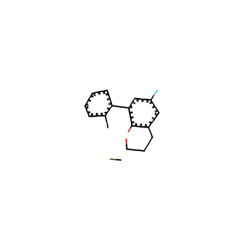 Fc1cc2c(c(-c3ccccc3C(F)(F)F)c1)O[C@@H](CBr)CC2